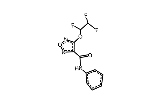 O=C(Nc1ccccc1)c1nonc1OC(F)C(F)F